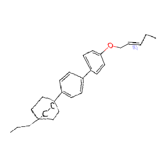 CC/C=C/COc1ccc(-c2ccc(C34CCC(CCC)(CC3)CC4)cc2)cc1